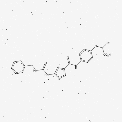 CCC(Oc1ccc(NC(=O)c2csc(NC(=O)NCc3ccccc3)n2)cc1)C(=O)O